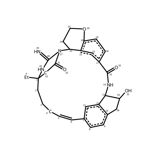 CCC12CCC/C=C\c3ccc4c(c3)C(NC(=O)c3ccc5c(c3)C(CCO5)N(C(=N)N1)C(=O)C2)C(O)C4